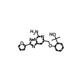 CC(C)(O)c1ccccc1OCc1cc2nc(-c3ccco3)nn2c(N)n1